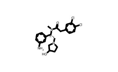 CN(C(=O)Cc1ccc(Cl)c(Cl)c1)[C@H](CN1CCC(O)C1)c1cccc(N)c1